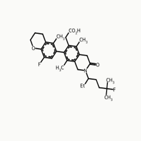 CCC(CCC(C)(C)F)N1Cc2c(C)c(-c3cc(F)c4c(c3C)CCCO4)c(CC(=O)O)c(C)c2CC1=O